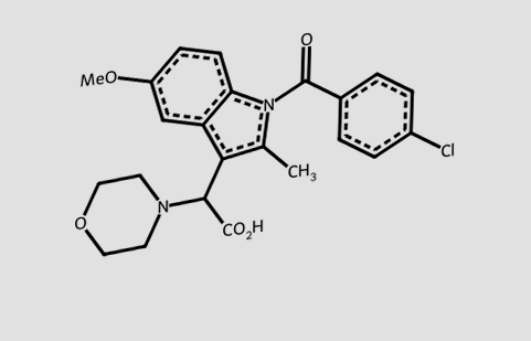 COc1ccc2c(c1)c(C(C(=O)O)N1CCOCC1)c(C)n2C(=O)c1ccc(Cl)cc1